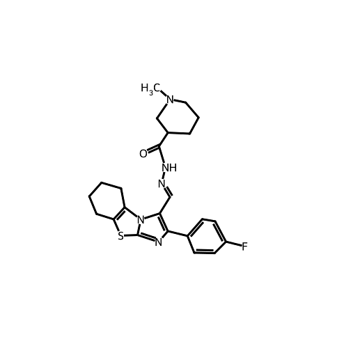 CN1CCCC(C(=O)NN=Cc2c(-c3ccc(F)cc3)nc3sc4c(n23)CCCC4)C1